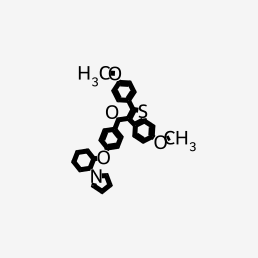 COc1ccc(-c2sc3cc(OC)ccc3c2C(=O)c2ccc(OC3CCCCC3N3CCCC3)cc2)cc1